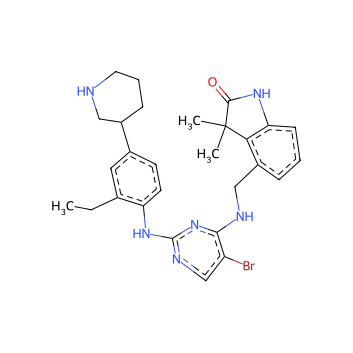 CCc1cc(C2CCCNC2)ccc1Nc1ncc(Br)c(NCc2cccc3c2C(C)(C)C(=O)N3)n1